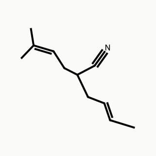 CC=CCC(C#N)CC=C(C)C